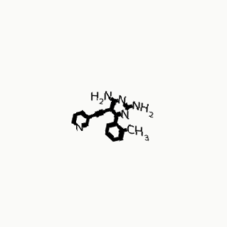 Cc1ccccc1-c1nc(N)nc(N)c1C#Cc1cccnc1